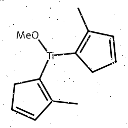 C[O][Ti]([C]1=C(C)C=CC1)[C]1=C(C)C=CC1